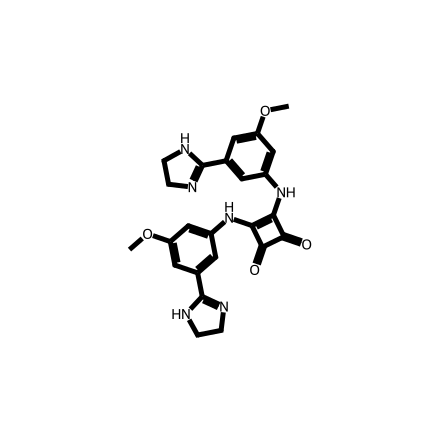 COc1cc(Nc2c(Nc3cc(OC)cc(C4=NCCN4)c3)c(=O)c2=O)cc(C2=NCCN2)c1